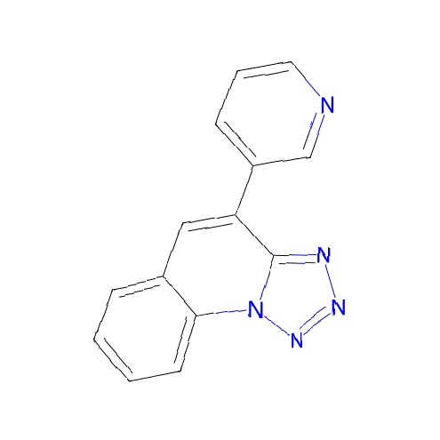 c1cncc(-c2cc3ccccc3n3nnnc23)c1